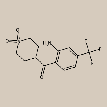 Nc1cc(C(F)(F)F)ccc1C(=O)N1CCS(=O)(=O)CC1